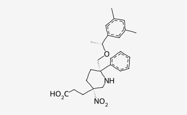 Cc1cc(C)cc([C@@H](C)OC[C@@]2(c3ccccc3)CC[C@@](CCC(=O)O)([N+](=O)[O-])CN2)c1